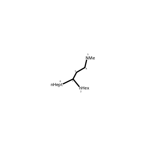 CCCCCCCC(CCCCCC)CCNC